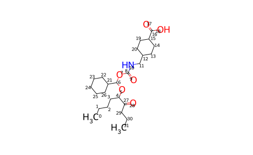 CCCCC(OC(OC(=O)NCC1CCC(C(=O)O)CC1)C1CCCCC1)C(=O)CCC